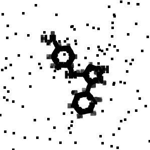 Nc1ccc(Nc2c[nH]nc2-c2ccccn2)nc1